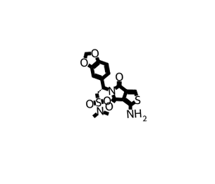 CN(C)S(=O)(=O)C[C@H](c1ccc2c(c1)OCO2)N1C(=O)c2csc(N)c2C1=O